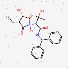 CC(C)C[C@H]1C(=O)[N+](O)([C@H](C(=O)NC(c2ccccc2)c2ccccc2)C(C)(C)O)C(=O)[C@H]1O